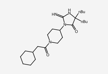 CCCCC1(CCCC)NC(=N)N(C2CCN(C(=O)CC3CCCCC3)CC2)C1=O